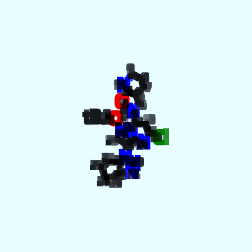 CC(C)(C)OC(=O)N(Cc1cccnc1)c1cc(Cl)nc2c(-n3nnc4ccccc43)cnn12